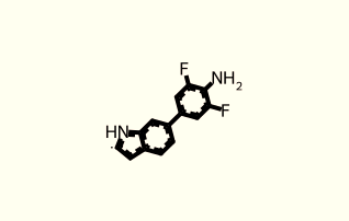 Nc1c(F)cc(-c2ccc3c[c][nH]c3c2)cc1F